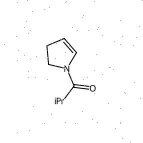 CC(C)C(=O)N1C=CCC1